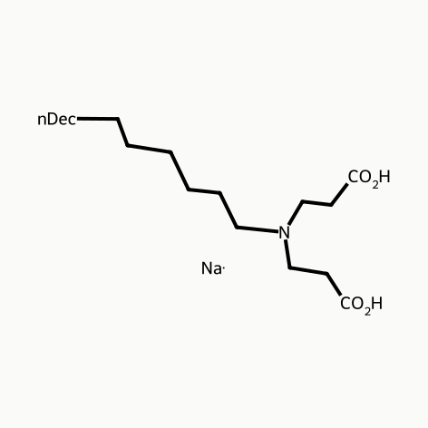 CCCCCCCCCCCCCCCCN(CCC(=O)O)CCC(=O)O.[Na]